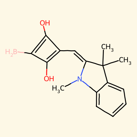 BC1=C(O)C(C=C2N(C)c3ccccc3C2(C)C)=C1O